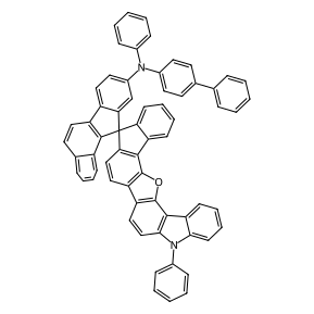 c1ccc(-c2ccc(N(c3ccccc3)c3ccc4c(c3)C3(c5ccccc5-c5c3ccc3c5oc5c3ccc3c5c5ccccc5n3-c3ccccc3)c3c-4ccc4ccccc34)cc2)cc1